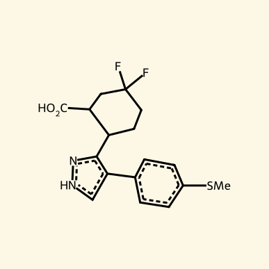 CSc1ccc(-c2c[nH]nc2C2CCC(F)(F)CC2C(=O)O)cc1